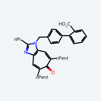 CCCCCc1cc2nc(CCC)n(Cc3ccc(-c4ccccc4C(=O)O)cc3)c2cc(CCCCC)c1=O